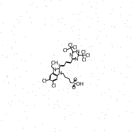 CCN1c2cc(Cl)c(Cl)cc2N(CCCCS(=O)(=O)O)C1C=CC=Cc1nc(C(Cl)(Cl)Cl)nc(C(Cl)(Cl)Cl)n1